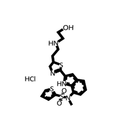 CN(c1cccc2cc(C3=NCC(CCNCCO)S3)[nH]c12)S(=O)(=O)c1cccs1.Cl